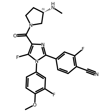 CN[C@H]1CCN(C(=O)c2nc(-c3ccc(C#N)c(F)c3)n(-c3ccc(OC)c(F)c3)c2F)C1